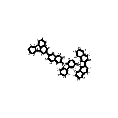 c1ccc2c(c1)-c1cccc3cc(-c4ccc5cc(-n6c7ccccc7c7cc(-n8c9c%10ccccc%10ccc9c9ccc%10ccccc%10c98)ccc76)ccc5c4)cc-2c13